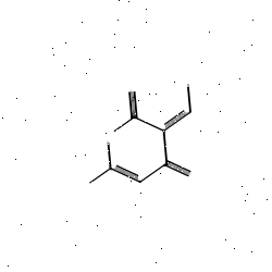 C/C=C1/C(=O)C=C(C)OC1=O